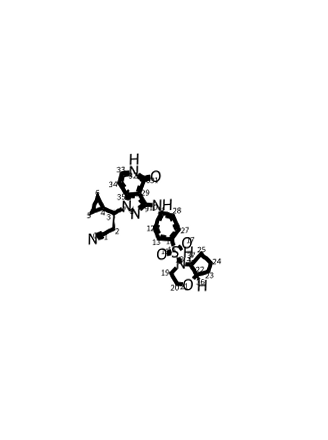 N#CC[C@@H](C1CC1)n1nc(Nc2ccc(S(=O)(=O)N3CCO[C@H]4CCC[C@@H]43)cc2)c2c(=O)[nH]ccc21